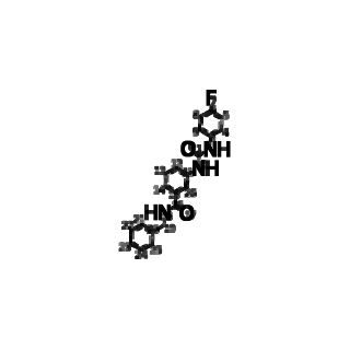 O=C(Nc1ccc(F)cc1)Nc1cccc(C(=O)NCc2ccccc2)c1